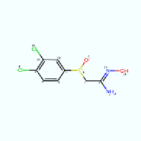 NC(C[S+]([O-])c1ccc(Cl)c(Cl)c1)=NO